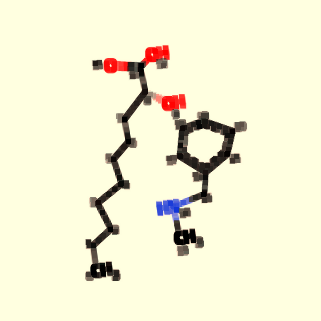 CCCCCCCC[C@@H](O)C(=O)O.CNCc1ccccc1